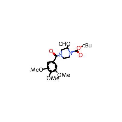 COc1cc(C(=O)N2CCN(C(=O)OC(C)(C)C)C(C=O)C2)cc(OC)c1OC